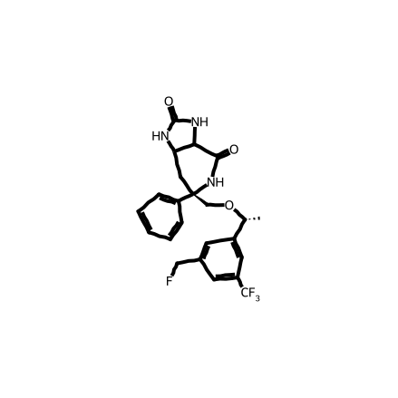 C[C@@H](OC[C@@]1(c2ccccc2)CC2NC(=O)NC2C(=O)N1)c1cc(CF)cc(C(F)(F)F)c1